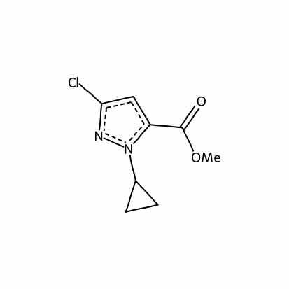 COC(=O)c1cc(Cl)nn1C1CC1